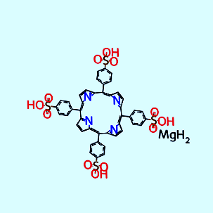 O=S(=O)(O)c1ccc(C2=C3C=CC(=N3)C(c3ccc(S(=O)(=O)O)cc3)=C3C=CC(=N3)C(c3ccc(S(=O)(=O)O)cc3)=C3C=CC(=N3)C(c3ccc(S(=O)(=O)O)cc3)=C3C=CC2=N3)cc1.[MgH2]